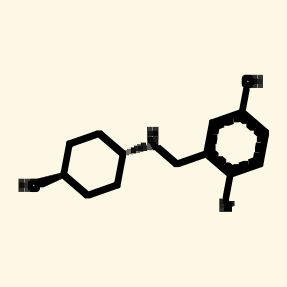 Oc1ccc(Br)c(CN[C@H]2CC[C@H](O)CC2)c1